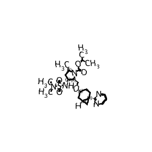 CC(C)OC(=O)N1[C@H](C)C[C@H](NS(=O)(=O)N(C)C)[C@@H]1CO[C@H]1CC[C@@]2(c3ncccn3)C[C@H]2C1